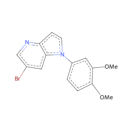 COc1ccc(-n2ccc3ncc(Br)cc32)cc1OC